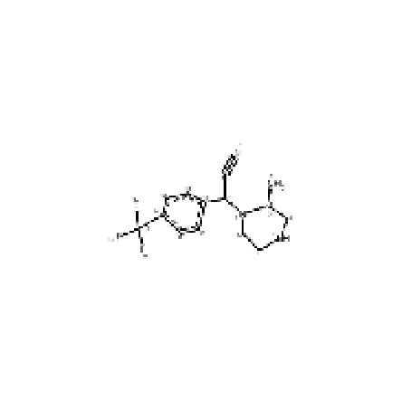 C[C@H]1CNCCN1C(C#N)c1ccc(C(F)(F)F)cc1